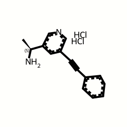 C[C@H](N)c1cncc(C#Cc2ccccc2)c1.Cl.Cl